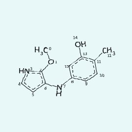 COc1[nH]ccc1Nc1ccc(C)c(O)c1